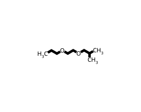 CCCOCCOCC(C)C